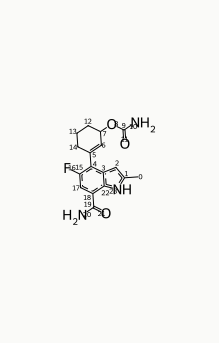 Cc1cc2c(C3=CC(OC(N)=O)CCC3)c(F)cc(C(N)=O)c2[nH]1